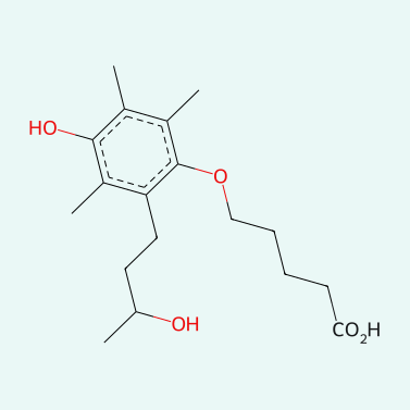 Cc1c(C)c(OCCCCC(=O)O)c(CCC(C)O)c(C)c1O